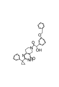 O=C(C(O)c1cccc(OCc2ccccc2)c1)N1CCc2nc(C3(c4ccccc4)CC3)[nH]c(=O)c2C1